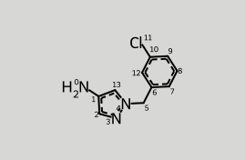 Nc1cnn(Cc2cccc(Cl)c2)c1